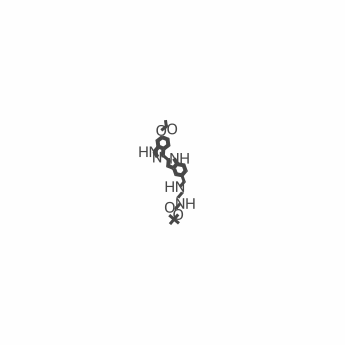 CC(=O)Oc1ccc2c(-c3cc4cc(CNCCNC(=O)OC(C)(C)C)ccc4[nH]3)n[nH]c2c1